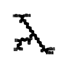 CCCCCCCCC(CCCCCCCC)C(=O)OCCCCCCC(CCCCCCOC(=O)C(CCCCCCCC)CCCCCCCC)COC(=O)OCCN(CC)CCN(CC)CC